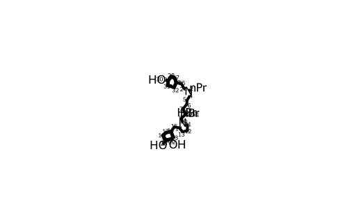 Br.Br.CCCN(CCCCCCN1CCCC1Cc1ccc(O)c(O)c1)CCc1ccc(O)cc1